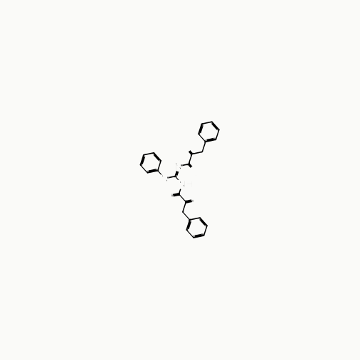 O=C(Cc1ccccc1)C(=O)N=C(NC(=O)C(=O)Cc1ccccc1)Nc1ccccc1